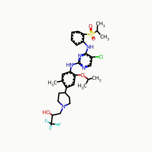 Cc1cc(Nc2ncc(Cl)c(Nc3ccccc3S(=O)(=O)C(C)C)n2)c(OC(C)C)cc1C1CCN(CC(O)C(F)(F)F)CC1